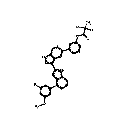 COc1cc(F)cc(-c2ccnc3[nH]c(-c4n[nH]c5cnc(-c6cncc(NC(=O)C(C)(C)C)c6)cc45)cc23)c1